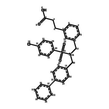 O=C(O)CCc1cccc(CN(Cc2ccc(-c3cnccn3)cc2)S(=O)(=O)c2ccc(Cl)cc2)c1